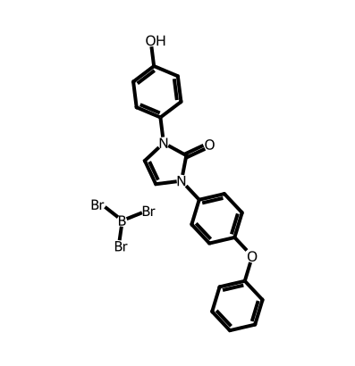 BrB(Br)Br.O=c1n(-c2ccc(O)cc2)ccn1-c1ccc(Oc2ccccc2)cc1